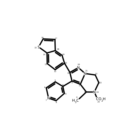 CC1c2c(-c3ccncc3)c(-c3ccc4sccc4c3)nn2CCN1C(=O)O